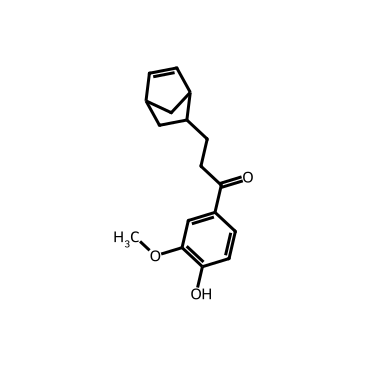 COc1cc(C(=O)CCC2CC3C=CC2C3)ccc1O